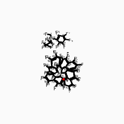 FC[NH+](c1c(F)c(F)c(F)c(F)c1F)C(F)(F)C(F)(F)F.Fc1ccc2[c]([Al-]([c]3c(F)c(F)c(F)c4c(F)c(F)ccc34)([c]3c(F)c(F)c(F)c4c(F)c(F)ccc34)[c]3c(F)c(F)c(F)c4c(F)c(F)ccc34)c(F)c(F)c(F)c2c1F